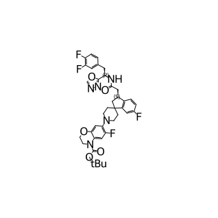 CC(C)(C)OC(=O)N1CCOc2cc(N3CCC4(CC3)C[C@@H](CC(=O)N[C@H](Cc3ccc(F)c(F)c3)c3nnco3)c3ccc(F)cc34)c(F)cc21